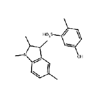 Cc1ccc(O)cc1S(=O)(=O)O.Cc1ccc2c(c1)C(C)C(C)N2C